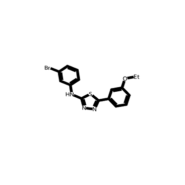 CCOc1cccc(-c2nnc(Nc3cccc(Br)c3)s2)c1